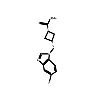 COC(=O)[C@H]1C[C@H](Cn2cnc3cc(F)ccc32)C1